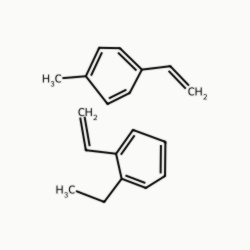 C=Cc1ccc(C)cc1.C=Cc1ccccc1CC